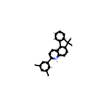 Cc1cc(C)cc(-c2ccc3c4c(ccc3n2)C(C)(C)c2ccccc2-4)c1